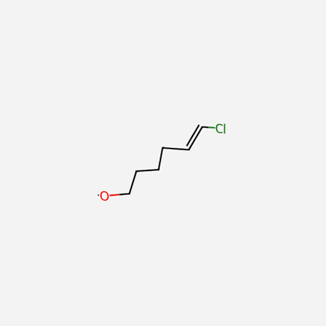 [O]CCCCC=CCl